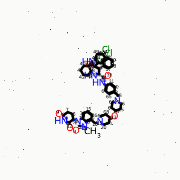 Cn1c(=O)n(C2CCC(=O)NC2=O)c2cccc(CN3CCC(OC4CCN(Cc5ccc(NC(=O)[C@@H]6NC7(CCCCC7)[C@@]7(C(=O)Nc8cc(Cl)ccc87)[C@H]6c6cccc(Cl)c6F)cc5)CC4)CC3)c21